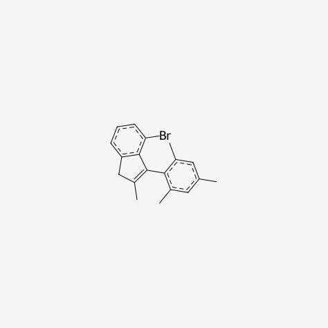 CC1=C(c2c(C)cc(C)cc2C)c2c(Br)cccc2C1